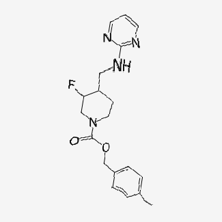 Cc1ccc(COC(=O)N2CCC(CNc3ncccn3)C(F)C2)cc1